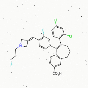 O=C(O)c1ccc2c(c1)CCCC(c1ccc(Cl)cc1Cl)=C2c1ccc(C=C2CN(CCCF)C2)c(F)c1